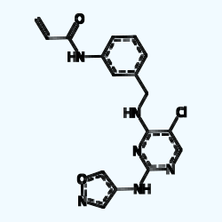 C=CC(=O)Nc1cccc(CNc2nc(Nc3cnoc3)ncc2Cl)c1